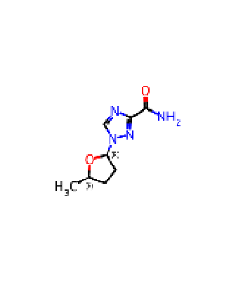 C[C@@H]1CC[C@H](n2cnc(C(N)=O)n2)O1